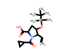 C=CC1C(O[Si](C)(C)C(C)(C)C)CC(C(=O)O)N1C(=O)C1CC1